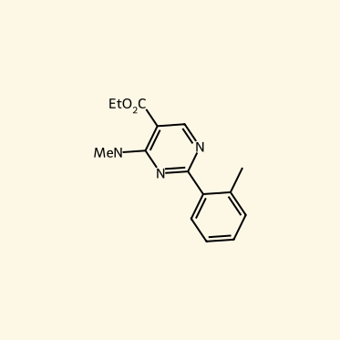 CCOC(=O)c1cnc(-c2ccccc2C)nc1NC